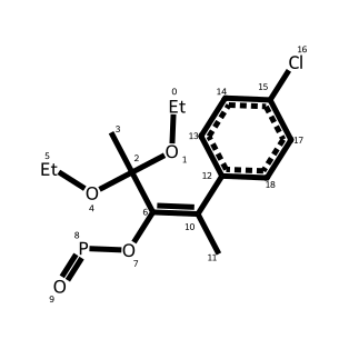 CCOC(C)(OCC)/C(OP=O)=C(/C)c1ccc(Cl)cc1